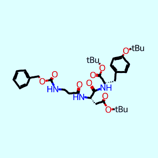 CC(C)(C)OC(=O)C[C@H](NC(=O)CCNC(=O)OCc1ccccc1)C(=O)N[C@@H](Cc1ccc(OC(C)(C)C)cc1)C(=O)OC(C)(C)C